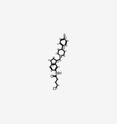 O=C(CCCCl)Nc1ccc2c(c1)C(CN1CCC(c3ccc(F)cc3)CC1)CC2